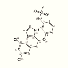 CS(=O)(=O)Nc1cccc(OC(Cc2cc(Cl)cc(Cl)c2)c2ncc[nH]2)c1